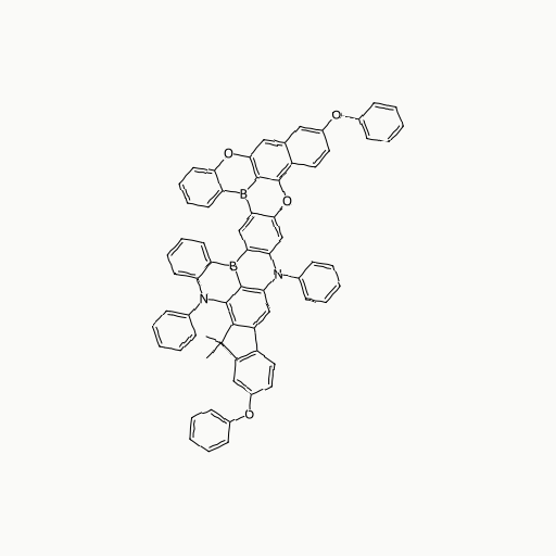 CC1(C)c2cc(Oc3ccccc3)ccc2-c2cc3c4c(c21)N(c1ccccc1)c1ccccc1B4c1cc2c(cc1N3c1ccccc1)Oc1c3c(cc4cc(Oc5ccccc5)ccc14)Oc1ccccc1B23